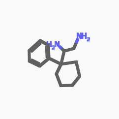 NCC(N)C1(c2ccccc2)CCCCC1